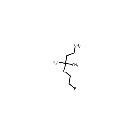 [CH2]CCC(C)(C)OCCF